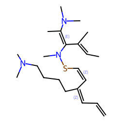 C=C/C=C(\C=C/SN(C)/C(C(C)=CC)=C(\C)N(C)C)CCCCN(C)C